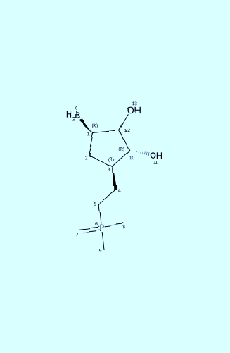 B[C@@H]1C[C@H](CCP(=C)(C)C)[C@@H](O)C1O